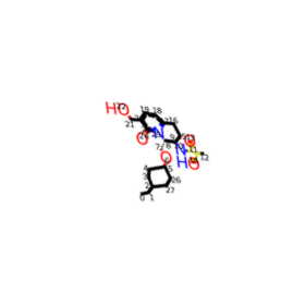 CCC1CCC(OC[C@H]2[C@@H](NS(C)(=O)=O)CCc3ccc(CO)c(=O)n32)CC1